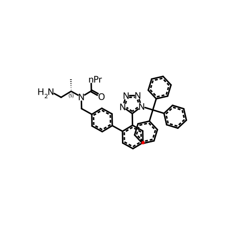 CCCC(=O)N(Cc1ccc(-c2ccccc2-c2nnnn2C(c2ccccc2)(c2ccccc2)c2ccccc2)cc1)[C@@H](C)CN